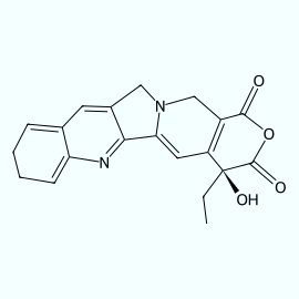 CC[C@@]1(O)C(=O)OC(=O)C2=C1C=C1c3nc4c(cc3CN1C2)=CCCC=4